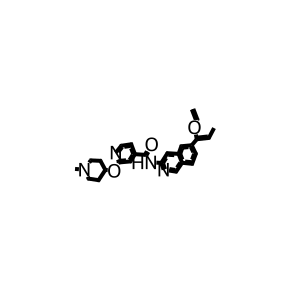 C=CO/C(=C\C)c1ccc2cnc(NC(=O)c3ccnc(OC4CCN(C)CC4)c3)cc2c1